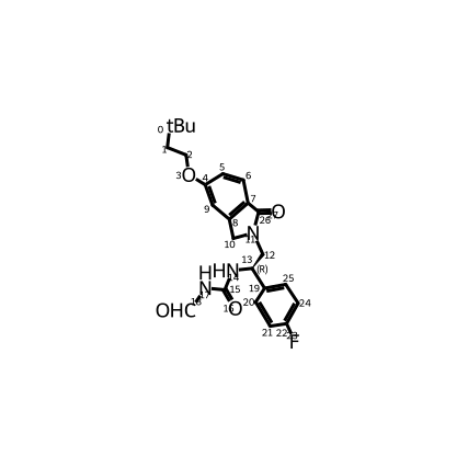 CC(C)(C)CCOc1ccc2c(c1)CN(C[C@H](NC(=O)NC=O)c1ccc(F)cc1)C2=O